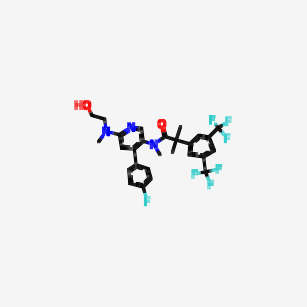 CN(CCO)c1cc(-c2ccc(F)cc2)c(N(C)C(=O)C(C)(C)c2cc(C(F)(F)F)cc(C(F)(F)F)c2)cn1